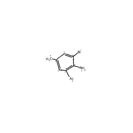 CC(=O)c1cc(C)cc(Br)c1N